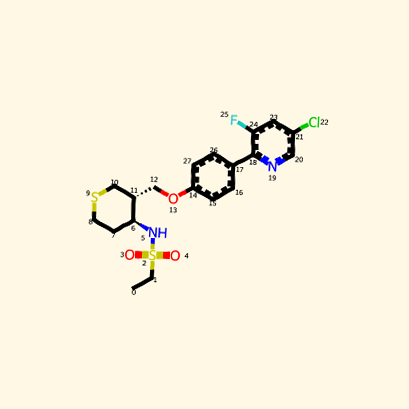 CCS(=O)(=O)N[C@H]1CCSC[C@@H]1COc1ccc(-c2ncc(Cl)cc2F)cc1